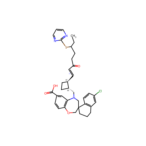 CCC(CCC(=O)/C=C/[C@@H]1CC[C@H]1CN1CC2(CCCc3cc(Cl)ccc32)COc2ccc(C(=O)O)cc21)Sc1ncccn1